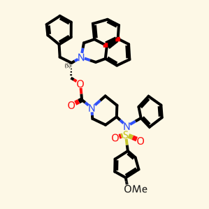 COc1ccc(S(=O)(=O)N(c2ccccc2)C2CCN(C(=O)OC[C@H](Cc3ccccc3)N(Cc3ccccc3)Cc3ccccc3)CC2)cc1